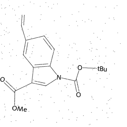 C=Cc1ccc2c(c1)c(C(=O)OC)cn2C(=O)OC(C)(C)C